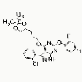 CC1(C)OC[C@H](CCCOc2nc(Oc3ccc(F)cc3F)nc3[nH]nc(-c4ccccc4Cl)c23)O1